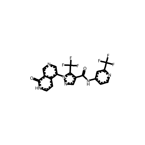 O=C(Nc1ccnc(C(F)(F)F)c1)c1cnn(-c2cncc3c(=O)[nH]ccc23)c1C(F)(F)F